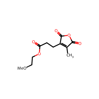 COCCOC(=O)CCC1=C(C)C(=O)OC1=O